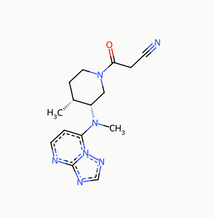 C[C@@H]1CCN(C(=O)CC#N)C[C@@H]1N(C)c1ccnc2ncnn12